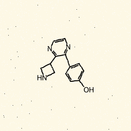 Oc1ccc(-c2nccnc2C2CNC2)cc1